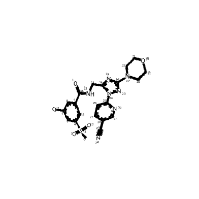 CS(=O)(=O)c1cc(Cl)cc(C(=O)NCc2nc(N3CCOCC3)nn2-c2ccc(C#N)cn2)c1